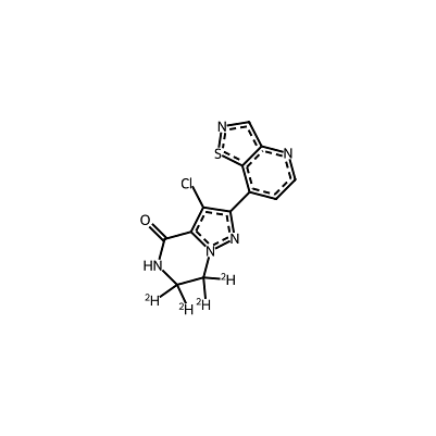 [2H]C1([2H])NC(=O)c2c(Cl)c(-c3ccnc4cnsc34)nn2C1([2H])[2H]